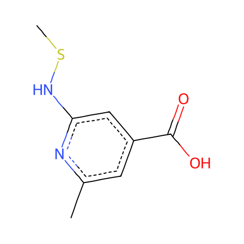 CSNc1cc(C(=O)O)cc(C)n1